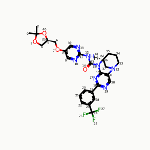 CC1(C)OC[C@H](COc2cnc(NC(=O)N3c4nc(-c5cccc(C(F)(F)F)c5)ncc4N4CCC[C@H]3C4)nc2)O1